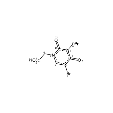 CCCn1c(=O)c(Br)cn(CC(=O)O)c1=O